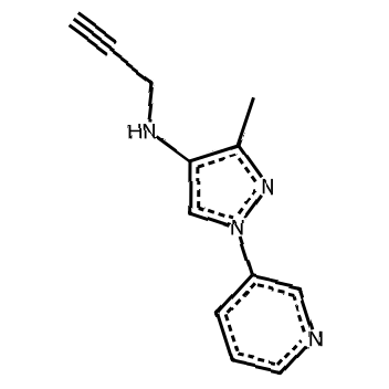 C#CCNc1cn(-c2cccnc2)nc1C